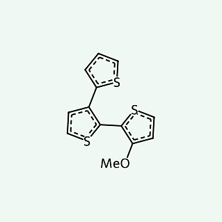 COc1ccsc1-c1sccc1-c1cccs1